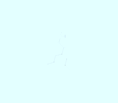 CCCC(CCO)[C@@H](C)CC